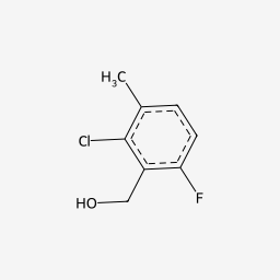 Cc1ccc(F)c(CO)c1Cl